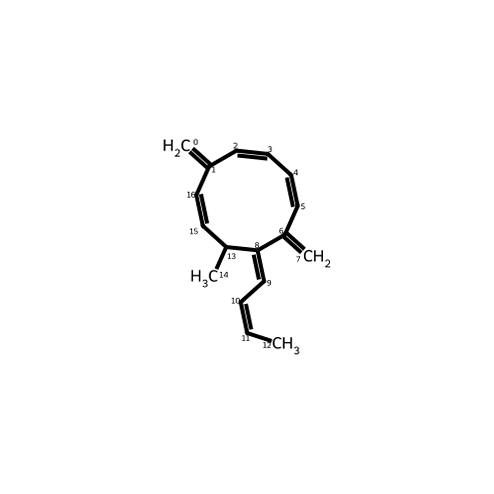 C=C1/C=C\C=C/C(=C)/C(=C/C=C\C)C(C)/C=C\1